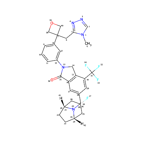 Cn1cnnc1CC1(c2cccc(N3Cc4c(cc(CN5[C@@H]6CC[C@H]5C[C@@H](F)C6)cc4C(F)(F)F)C3=O)c2)COC1